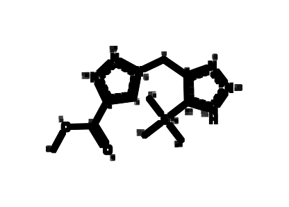 COC(=O)c1cn(Cc2nn[nH]c2[Si](C)(C)C)nn1